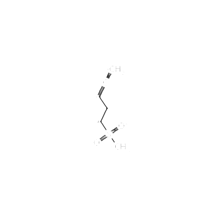 C=C=CCCS(C)(=O)=O